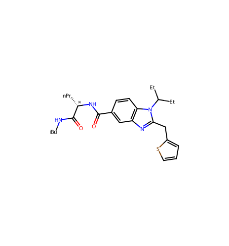 CCC[C@H](NC(=O)c1ccc2c(c1)nc(Cc1cccs1)n2C(CC)CC)C(=O)NC(C)CC